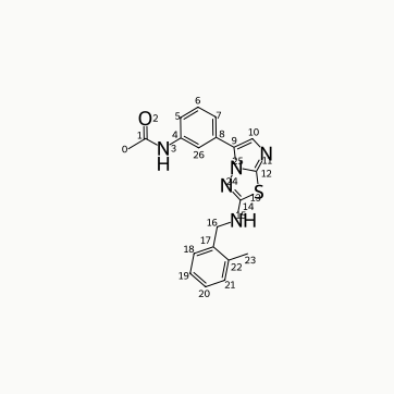 CC(=O)Nc1cccc(-c2cnc3sc(NCc4ccccc4C)nn23)c1